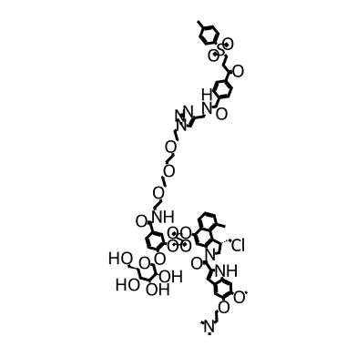 COc1cc2[nH]c(C(=O)N3C[C@@H](CCl)c4c3cc(OS(=O)(=O)Oc3cc(C(=O)NCCOCCOCCOCCn5cc(CNC(=O)c6ccc(C(=O)CCS(=O)(=O)c7ccc(C)cc7)cc6)nn5)ccc3O[C@@H]3O[C@H](CO)[C@H](O)[C@H](O)[C@H]3O)c3cccc(C)c43)cc2cc1OCCN(C)C